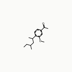 CCC(C)CC(C)c1ccc(C(C)=O)cc1OC